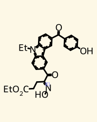 CCOC(=O)CC/C(=N\O)C(=O)c1ccc2c(c1)c1cc(C(=O)c3ccc(O)cc3)ccc1n2CC